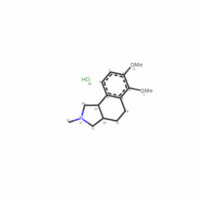 COc1ccc2c(c1OC)CCC1CN(C)CC21.Cl